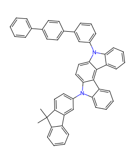 CC1(C)c2ccccc2-c2cc(-n3c4ccccc4c4c5c6ccccc6n(-c6cccc(-c7ccc(-c8ccccc8)cc7)c6)c5ccc43)ccc21